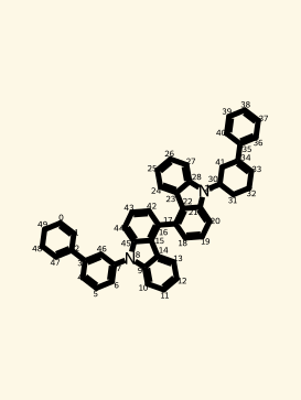 C1=CC(c2cccc(-n3c4ccccc4c4c(-c5cccc6c5c5ccccc5n6C5CCC=C(c6ccccc6)C5)cccc43)c2)=CCC1